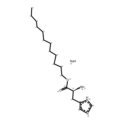 CCCCCCCCCCCCOC(=O)[C@@H](N)Cc1cnc[nH]1.[NaH]